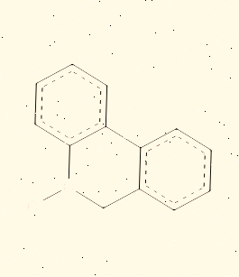 [O-][O+]1Cc2ccccc2-c2ccccc21